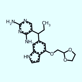 CCC(c1cc(OCC2OCCO2)c2cc[nH]c2c1)c1cnc(N)nc1N